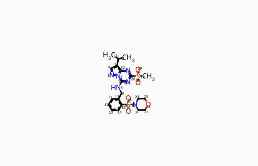 CC(C)c1cnn2c(NCc3ccccc3S(=O)(=O)N3CCOCC3)nc(S(C)(=O)=O)nc12